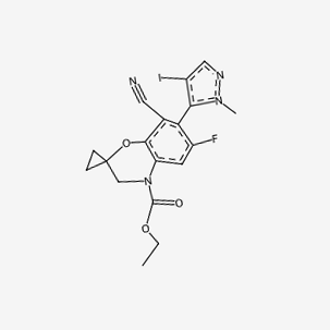 CCOC(=O)N1CC2(CC2)Oc2c1cc(F)c(-c1c(I)cnn1C)c2C#N